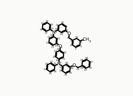 CC1C=CC=C(COc2cccc(N(c3ccccc3)c3cccc(Oc4ccc(N(c5ccccc5)c5cccc(OCc6ccccc6)c5)cc4)c3)c2)C1